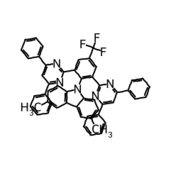 Cc1ccc2c(c1)c1cc(C)ccc1n2-c1c(-c2nc(-c3ccccc3)cc(-c3ccccc3)n2)cc(C(F)(F)F)cc1-c1nc(-c2ccccc2)cc(-c2ccccc2)n1